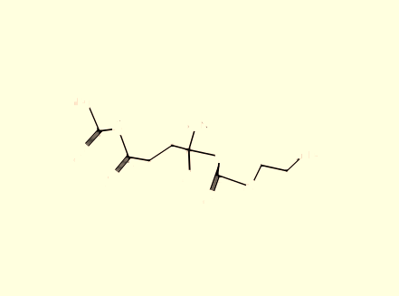 CCCCCCCCCCCCSC(=S)SC(C)(C#N)CCC(=O)OC(=O)CCCC